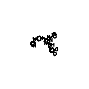 COc1ccc(CNc2ncc(CN3CCC(N(C)c4cccnc4)CC3)c3nc(-c4ccco4)nn23)cc1OC